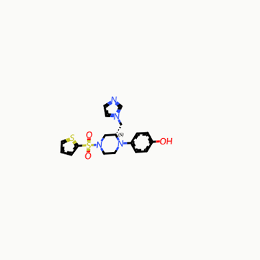 O=S(=O)(c1cccs1)N1CCN(c2ccc(O)cc2)[C@@H](Cn2ccnc2)C1